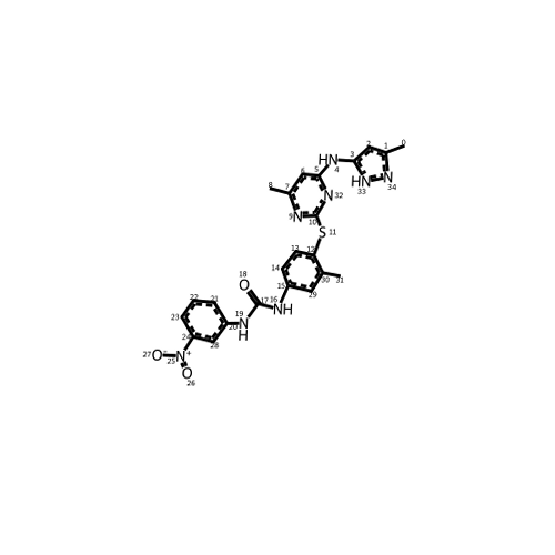 Cc1cc(Nc2cc(C)nc(Sc3ccc(NC(=O)Nc4cccc([N+](=O)[O-])c4)cc3C)n2)[nH]n1